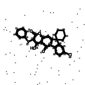 O=c1oc2cc3n(c(=O)c2c(O)c1Sc1ccccc1)-c1ccc(Cl)cc1C31CCCCC1